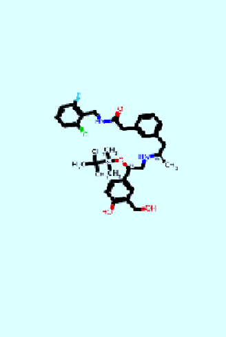 C[C@H](Cc1cccc(CC(=O)NCc2c(F)cccc2Cl)c1)NC[C@H](O[Si](C)(C)C(C)(C)C)c1ccc(O)c(CO)c1